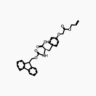 C=CCOC(=O)COc1ccc(C[C@@H](NC(=O)OCC2c3ccccc3-c3ccccc32)C(=O)O)cc1